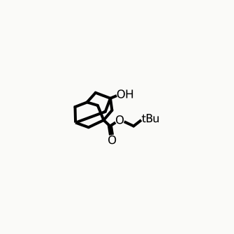 CC(C)(C)COC(=O)C12CC3CC(CC(O)(C3)C1)C2